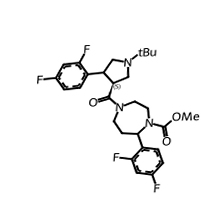 COC(=O)N1CCN(C(=O)[C@@H]2CN(C(C)(C)C)CC2c2ccc(F)cc2F)CCC1c1ccc(F)cc1F